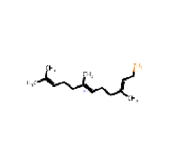 CC(C)=CCC/C(C)=C/CCC(C)=CCP